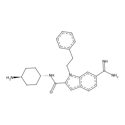 N=C(N)c1ccc2cc(C(=O)N[C@H]3CC[C@H](N)CC3)n(CCc3ccccc3)c2c1